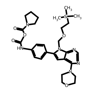 C[Si](C)(C)CCOCn1c(-c2ccc(NC(=O)OC(=O)N3CCCC3)cc2)cc2c(N3CCOCC3)ncnc21